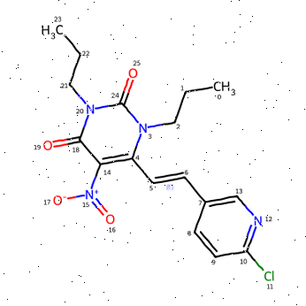 CCCn1c(/C=C/c2ccc(Cl)nc2)c([N+](=O)[O-])c(=O)n(CCC)c1=O